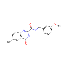 CCOc1cccc(CNC(=O)c2nc3ccc(C#N)cc3c(=O)[nH]2)c1